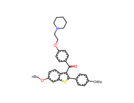 CCCCOc1ccc2c(C(=O)c3ccc(OCCN4CCCCC4)cc3)c(-c3ccc(OC)cc3)sc2c1